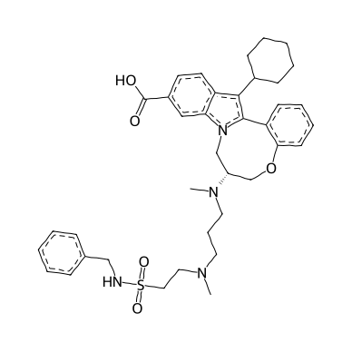 CN(CCCN(C)[C@H]1COc2ccccc2-c2c(C3CCCCC3)c3ccc(C(=O)O)cc3n2C1)CCS(=O)(=O)NCc1ccccc1